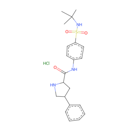 CC(C)(C)NS(=O)(=O)c1ccc(NC(=O)C2CC(c3ccccc3)CN2)cc1.Cl